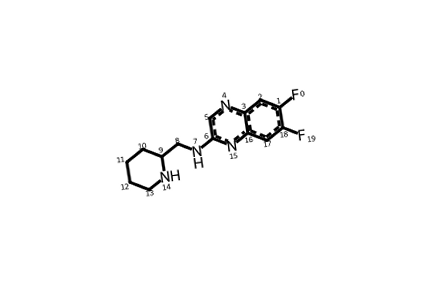 Fc1cc2ncc(NCC3CCCCN3)nc2cc1F